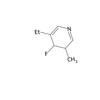 CCC1=CN=CC(C)C1F